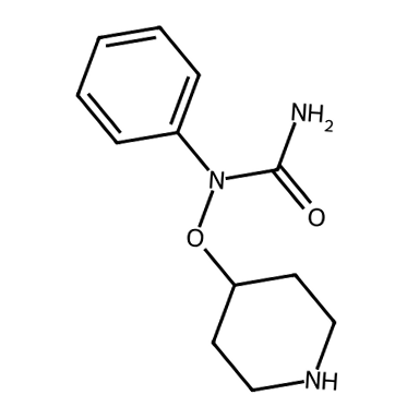 NC(=O)N(OC1CCNCC1)c1ccccc1